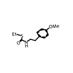 CCSC(=O)NCCc1ccc(OC)cc1